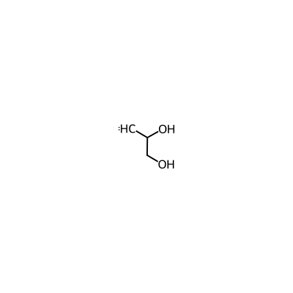 [CH]C(O)CO